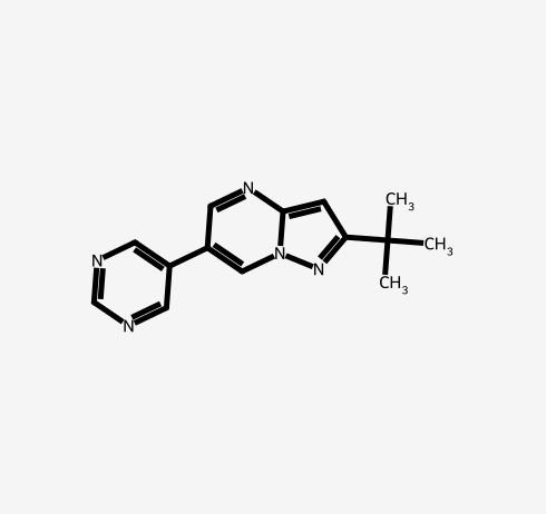 CC(C)(C)c1cc2ncc(-c3cncnc3)cn2n1